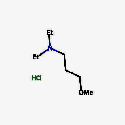 CCN(CC)CCCOC.Cl